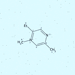 CCc1cnc(C)c[n+]1C